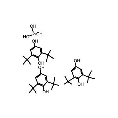 CC(C)(C)c1cc(O)cc(C(C)(C)C)c1O.CC(C)(C)c1cc(O)cc(C(C)(C)C)c1O.CC(C)(C)c1cc(O)cc(C(C)(C)C)c1O.OP(O)O